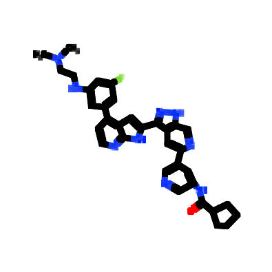 CN(C)CCNc1cc(F)cc(-c2ccnc3[nH]c(-c4n[nH]c5cnc(-c6cncc(NC(=O)C7CCCC7)c6)cc45)cc23)c1